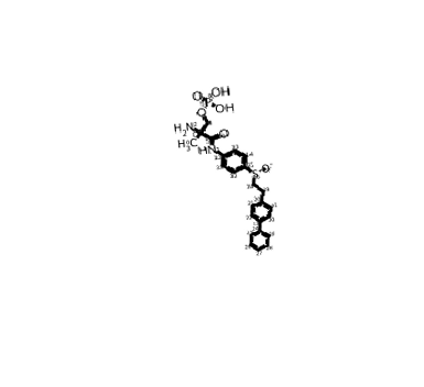 CC(N)(COP(=O)(O)O)C(=O)Nc1ccc([S+]([O-])CCc2ccc(-c3ccccc3)cc2)cc1